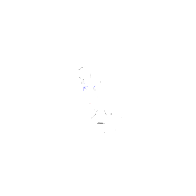 O=Cc1cc(Cl)c(OCc2nc3ccccc3[nH]2)cc1F